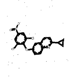 O=[N+]([O-])c1cc(Cl)c(Oc2ccc3nc(C4CC4)ccc3c2)c(Cl)c1